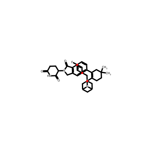 CC1(C)CCC(CN2C3CC2CN(Cc2ccc4c(c2)CN(C2CCC(=O)NC2=O)C4=O)C3)=C(c2ccc(F)cc2)C1